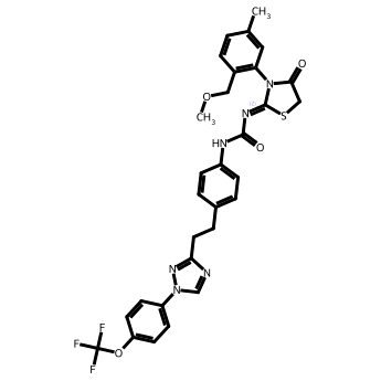 COCc1ccc(C)cc1N1C(=O)CS/C1=N\C(=O)Nc1ccc(CCc2ncn(-c3ccc(OC(F)(F)F)cc3)n2)cc1